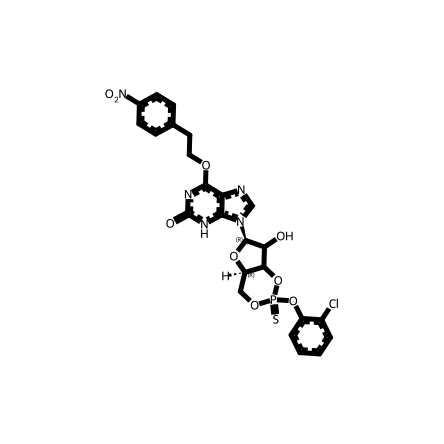 O=c1nc(OCCc2ccc([N+](=O)[O-])cc2)c2ncn([C@@H]3O[C@@H]4COP(=S)(Oc5ccccc5Cl)OC4C3O)c2[nH]1